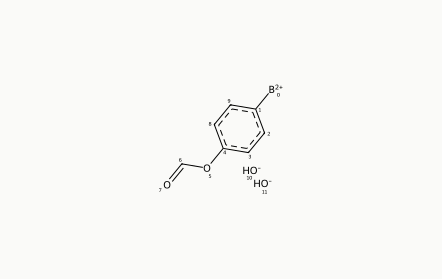 [B+2]c1ccc(OC=O)cc1.[OH-].[OH-]